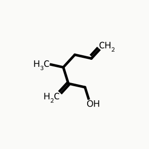 C=CCC(C)C(=C)CO